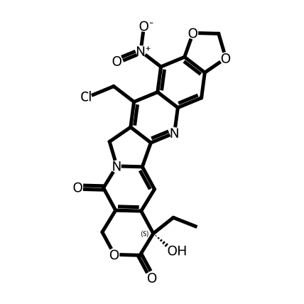 CC[C@@]1(O)C(=O)OCc2c1cc1n(c2=O)Cc2c-1nc1cc3c(c([N+](=O)[O-])c1c2CCl)OCO3